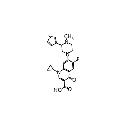 CN1CCN(c2cc3c(cc2F)c(=O)c(C(=O)O)cn3C2CC2)CC1c1ccsc1